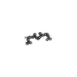 c1ccc2c(c1)c1ccccc1n2-c1ccc2oc3ccc(-c4ccc5c(c4)c4ccccc4n5-c4ccc5oc6ccc(-n7c8ccccc8c8cc(-c9ccc%10[pH]c%11ccc(-n%12c%13ccccc%13c%13ccccc%13%12)cc%11c%10c9)ccc87)cc6c5c4)cc3c2c1